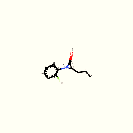 CCCC1C(=O)N1c1ccccc1F